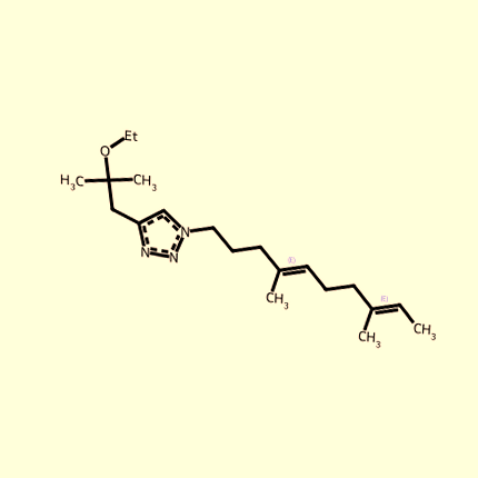 C/C=C(\C)CC/C=C(\C)CCCn1cc(CC(C)(C)OCC)nn1